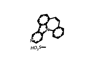 C1=Cc2cccc3c4cnccc4n(c23)-c2ccccc21.CS(=O)(=O)O